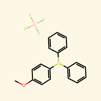 COc1ccc([S+](c2ccccc2)c2ccccc2)cc1.F[B-](F)(F)F